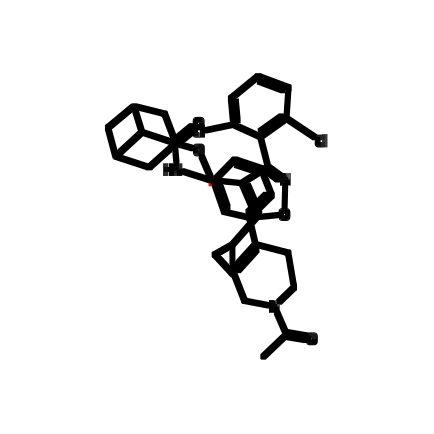 CC(=O)N1CC=C(c2cccc(NC(=O)C3C4CC(OCc5c(-c6c(Cl)cccc6Cl)noc5C5CC5)CC3C4)c2)CC1